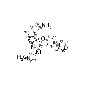 Cn1ccc(Nc2cc(O[C@H]3CC[C@H](N4CCOCC4)CC3)c3c4c(sc3n2)CC[C@@H]4CC(N)=O)c1